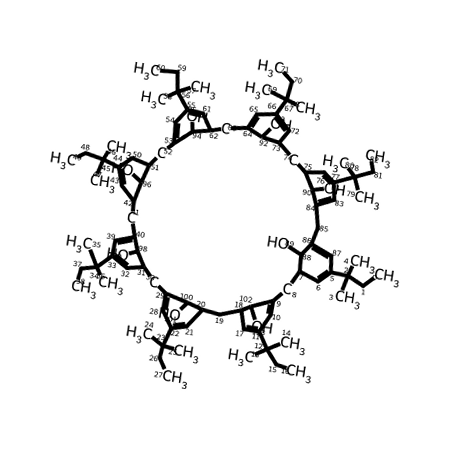 CCC(C)(C)C1=CC2CC3=CC(C(C)(C)CC)=CC(CC4C=C(C(C)(C)CC)C=C(CC5C=C(C(C)(C)CC)C=C(CC6C=C(C(C)(C)CC)CC(CC7=CC(C(C)(C)CC)=CC(CC8=CC(C(C)(C)CC)=CC(CC9C=C(C(C)(C)CC)C=C(CC(=C1)C2O)C9O)C8O)C7O)C6O)C5O)C4O)C3O